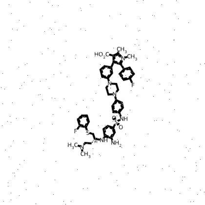 Cc1c(C(=O)O)c(-c2cccc(N3CCN(c4ccc(NS(=O)(=O)c5ccc(N[C@H](CCN(C)C)CSc6ccccc6F)c(N)c5)cc4)CC3)c2)c(-c2ccc(F)cc2)n1C